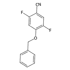 N#Cc1cc(F)c(OCc2ccccc2)cc1F